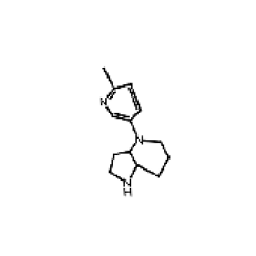 Cc1ccc(N2CCCC3NCCC32)cn1